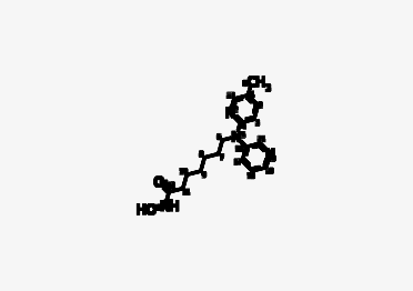 Cc1ccc(N(CCCCCCC(=O)NO)c2cccnc2)nc1